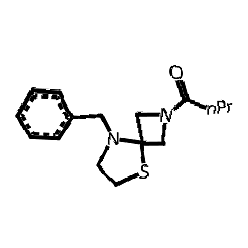 CCCC(=O)N1CC2(C1)SCCN2Cc1ccccc1